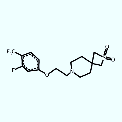 O=S1(=O)CC2(CCN(CCOc3ccc(C(F)(F)F)c(F)c3)CC2)C1